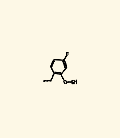 CCc1ccc(F)cc1OS